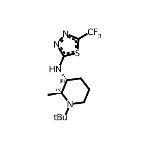 C[C@H]1[C@H](Nc2nnc(C(F)(F)F)s2)CCCN1C(C)(C)C